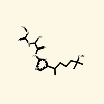 CCCC(NC(=O)OC(C)(C)C)C(=O)Nc1ncc(C(C)CCCC(C)(C)OC)s1